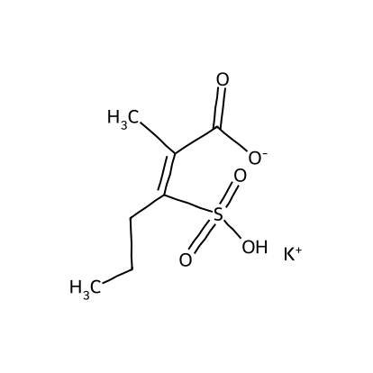 CCC/C(=C(\C)C(=O)[O-])S(=O)(=O)O.[K+]